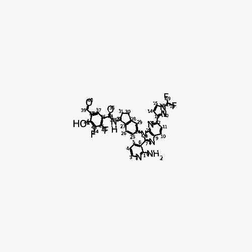 Nc1ncccc1-c1nc2ccc(-c3ccn(C(F)F)n3)nc2n1-c1ccc2c(c1)CC[C@@H]2NC(=O)c1cc(C=O)c(O)c(F)c1F